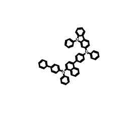 c1ccc(-c2ccc(N(c3ccccc3)c3ccc(-c4ccc(N(c5ccccc5)c5ccc6c7ccccc7n(-c7ccccc7)c6c5)cc4)c4ccccc34)cc2)cc1